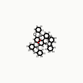 c1ccc2c(c1)Oc1ccccc1B2c1ccccc1-c1ccc(B2c3ccccc3Sc3ccccc32)cc1-n1c2ccccc2c2ccccc21